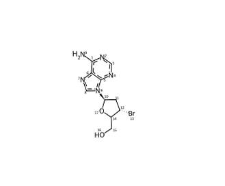 Nc1ncnc2c1ncn2[C@H]1C[C@H](Br)C(CO)O1